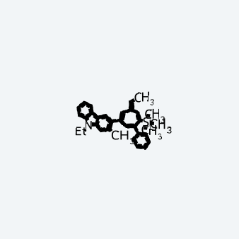 C/C=C1/C=C(c2cc3c4ccccc4n(CC)c3cc2C)C=C(c2ccccc2)C([Si](C)(C)C)=C1